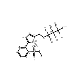 CCS(=O)(=O)c1cccnc1-c1ncc(CCC(F)(F)C(F)(F)C(F)(F)F)n1C